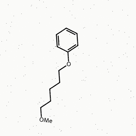 COCCCCCOc1[c]cccc1